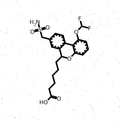 NS(=O)(=O)Cc1ccc2c(c1)C(CCCCCC(=O)O)Oc1cccc(OC(F)F)c1-2